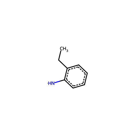 CCc1ccccc1[NH]